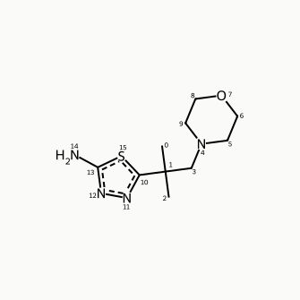 CC(C)(CN1CCOCC1)c1nnc(N)s1